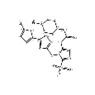 CCS(=O)(=O)c1ncc(OC(=O)NC2CCN(C(C)C)CC2)n1Cc1cc(-c2ccc(Cl)s2)on1